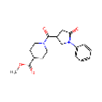 COC(=O)C1CCN(C(=O)C2CC(=O)N(c3ccccc3)C2)CC1